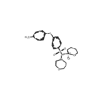 Cc1ccc(Sc2ccc(S(=O)(=O)N(N3CCOCC3)[C@@]3([O])CCCCO3)cc2)cc1